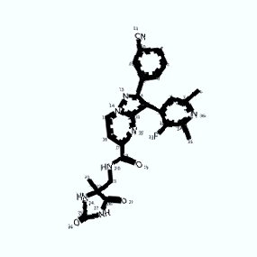 Cc1cc(-c2c(-c3cccc(C#N)c3)nn3ccc(C(=O)NCC4(C)NC(=O)NC4=O)nc23)c(F)c(C)n1